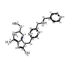 CCCCOC(C)/N=C1\C(=C(N)N)N=C(O)N1Cc1cnc(CNCc2ccncc2)cn1